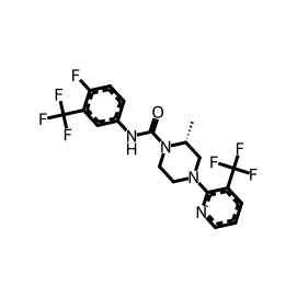 C[C@@H]1CN(c2ncccc2C(F)(F)F)CCN1C(=O)Nc1ccc(F)c(C(F)(F)F)c1